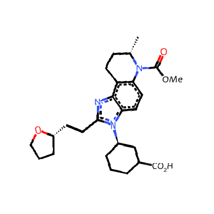 COC(=O)N1c2ccc3c(nc(CC[C@@H]4CCCO4)n3[C@@H]3CCCC(C(=O)O)C3)c2CC[C@@H]1C